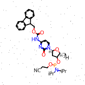 [2H]C[C@H]1O[C@@H](n2ccc(NC(=O)OCC3c4ccccc4-c4ccccc43)nc2=O)CC1OP(OCCC#N)N(C(C)C)C(C)C